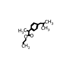 C=CCOC(=O)C(C)c1ccc(CC(C)C)cc1